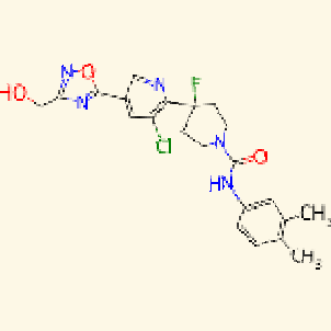 Cc1ccc(NC(=O)N2CCC(F)(c3ncc(-c4nc(CO)no4)cc3Cl)CC2)cc1C